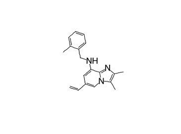 C=Cc1cc(NCc2ccccc2C)c2nc(C)c(C)n2c1